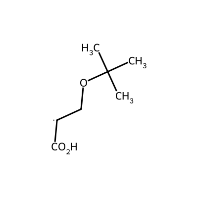 CC(C)(C)OC[CH]C(=O)O